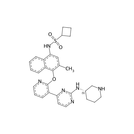 Cc1cc(NS(=O)(=O)C2CCC2)c2ccccc2c1Oc1ncccc1-c1ccnc(N[C@H]2CCCNC2)n1